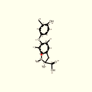 [3H]N([3H])[C@@]([3H])(Cc1cc(I)c(Oc2ccc(O)c(I)c2)c(I)c1)C(=O)O